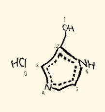 Cl.Oc1cnc[nH]1